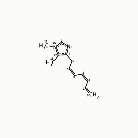 C=C/C=C\C=C/Cc1ncn(C)c1C